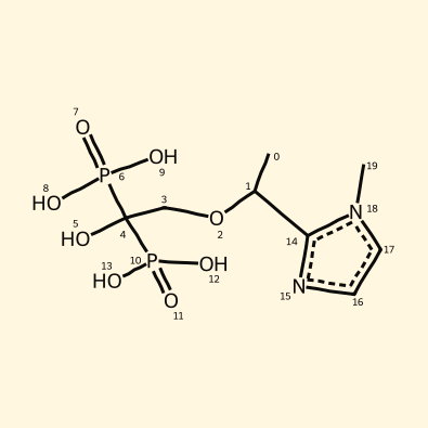 CC(OCC(O)(P(=O)(O)O)P(=O)(O)O)c1nccn1C